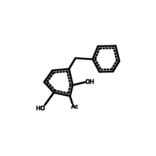 CC(=O)c1c(O)ccc(Cc2ccccc2)c1O